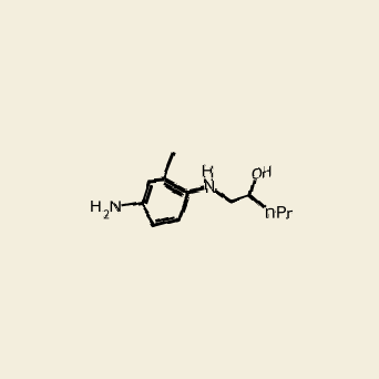 CCCC(O)CNc1ccc(N)cc1C